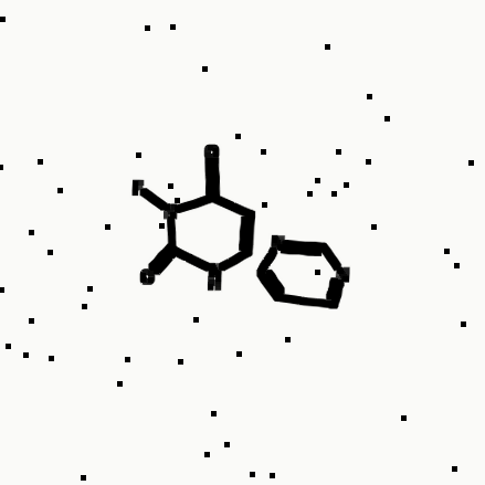 O=c1cc[nH]c(=O)n1F.c1cncnc1